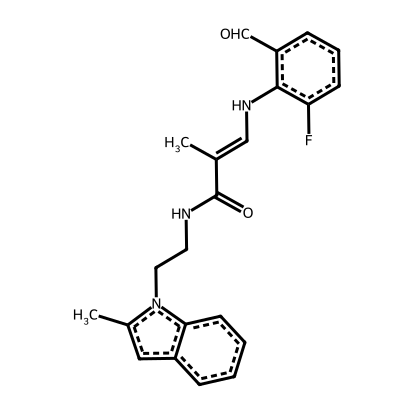 C/C(=C\Nc1c(F)cccc1C=O)C(=O)NCCn1c(C)cc2ccccc21